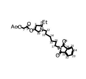 CC[C@@H]1C[C@@H](OC(=O)CCC(C)=O)CN1CCCCCCN1C(=O)c2ccccc2C1=O